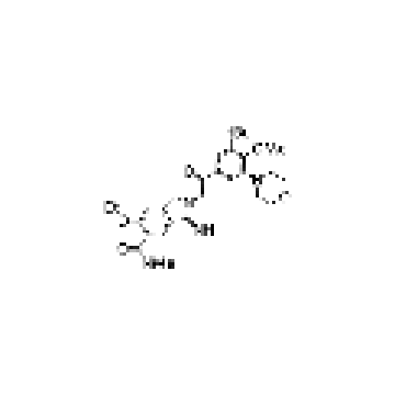 CCOc1cc2c(cc1C(=O)NC)C(=N)N(CC(=O)c1cc(N3CCOCC3)c(OC)c(C(C)(C)C)c1)C2